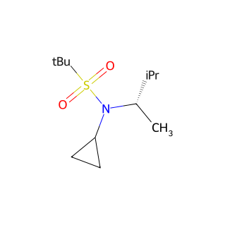 CC(C)[C@H](C)N(C1CC1)S(=O)(=O)C(C)(C)C